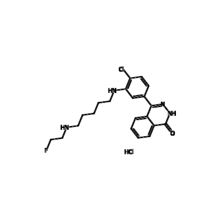 Cl.O=c1[nH]nc(-c2ccc(Cl)c(NCCCCCNCCF)c2)c2ccccc12